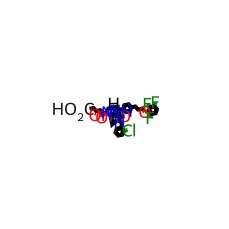 O=C(O)C[C@H](O)CC(=O)N1C[C@H]2CC(c3ccc(CCCOc4c(F)ccc(F)c4F)cc3)=C(C(=O)N(Cc3ccccc3Cl)C3CC3)[C@@H](C1)N2